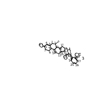 CC1CC2=CC(=O)CC[C@]2(C)C2CC[C@@]3(C)C(CC[C@@H]3C(=O)Nc3ccccc3C(F)(F)F)C12